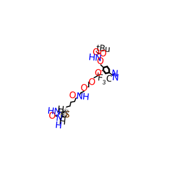 CC(C)(C)OC(=O)NOCc1ccc(C2(C(F)(F)F)N=N2)cc1OCCOCCOCCNC(=O)CCCC[C@@H]1SC[C@@H]2NC(=O)N[C@@H]21